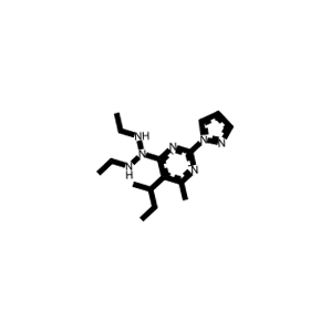 CCNN(NCC)c1nc(-n2cccn2)nc(C)c1C(C)CC